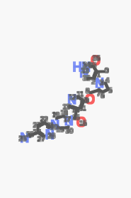 Cc1c(N2CCCC2COc2cncc(C(=O)N3CCN(c4ccc(C#N)cn4)CC3)c2)cn[nH]c1=O